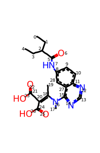 CCC(CC)C(=O)Nc1ccc2ncnc(N(C)C(C)=C(C(=O)O)C(=O)O)c2c1